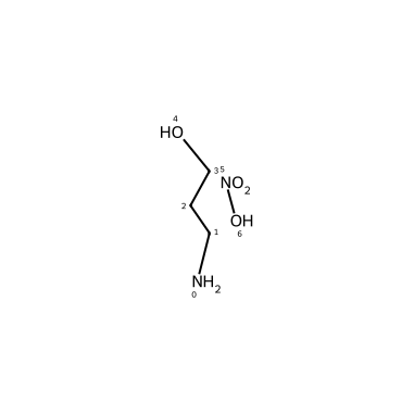 NCCCO.O=[N+]([O-])O